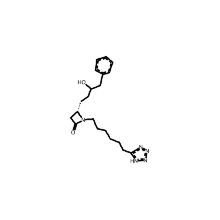 O=C1C[C@H](CCC(O)Cc2ccccc2)N1CCCCCCc1nnn[nH]1